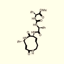 COC(=O)[C@@H](NC(=O)N[C@H](C(=O)N[C@H]1/C=C/CCNC(=O)/C=C/[C@H](C(C)C)NC1=O)C(C)C)C(C)C